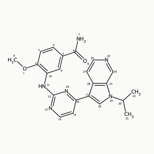 COc1ccc(C(N)=O)cc1Nc1nccc(-c2cn(C(C)C)c3cnccc23)n1